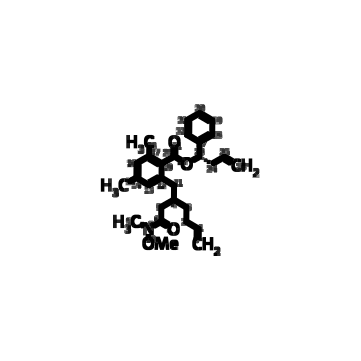 C=CCCC(CC(=O)N(C)OC)Cc1cc(C)cc(C)c1C(=O)O[C@@H](CC=C)c1ccccc1